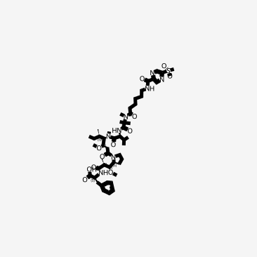 CC[C@H](C)[C@@H]([C@@H](CC(=O)N1CCC[C@H]1[C@H](OC)[C@@H](C)C(=O)N[C@@H](Cc1ccccc1)C(=O)O)OC)N(C)C(=O)[C@@H](NC(=O)C(C)(C)N(C)C(=O)CCCCCNC(=O)c1cnc(S(C)(=O)=O)cn1)C(C)C